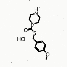 COc1ccc(CSC(=O)N2CCNCC2)cc1.Cl